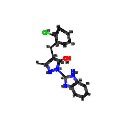 Cc1nn(-c2nc3ccccc3[nH]2)c(O)c1Cc1ccccc1Cl